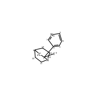 IC1(c2cccnc2)CC2CCN1CC2